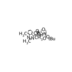 Cc1nc(C(C)(C)NC(=O)C2COCCN(C(=O)OC(C)(C)C)C2)c2cccc(C)c2n1